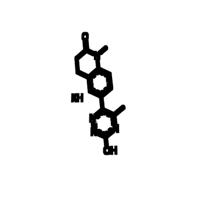 Cc1nc(O)nnc1-c1ccc2c(c1)CCC(=O)N2C.[KH]